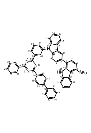 CCCCc1ccc(-c2ccc3c(c2)c2ccccc2n3-c2cccc(-c3nc(-c4ccccc4)nc(-c4ccc(-c5ccccc5)cc4)n3)c2)c2[nH]c3ccccc3c12